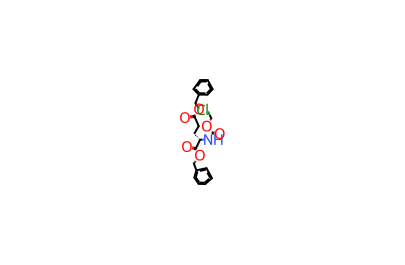 O=C(CC[C@H](NC(=O)OCCl)C(=O)OCc1ccccc1)OCc1ccccc1